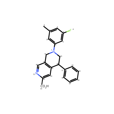 Cc1cc(F)cc(N2Cc3cnc(C(=O)O)cc3C(c3ccccc3)C2)c1